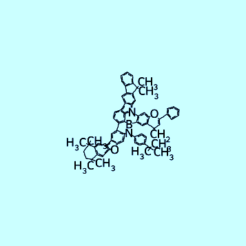 C=C1C=C(c2ccccc2)Oc2cc3c(cc21)B1c2c(ccc4c5cc6c(cc5n-3c24)C(C)(C)c2ccccc2-6)-c2cc3c(cc2N1c1ccc(C(C)(C)C)cc1)oc1cc2c(cc13)C(C)(C)CCC2(C)C